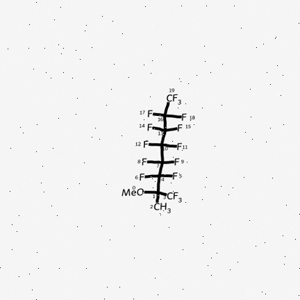 COC(C)(C(F)(F)F)C(F)(F)C(F)(F)C(F)(F)C(F)(F)C(F)(F)C(F)(F)F